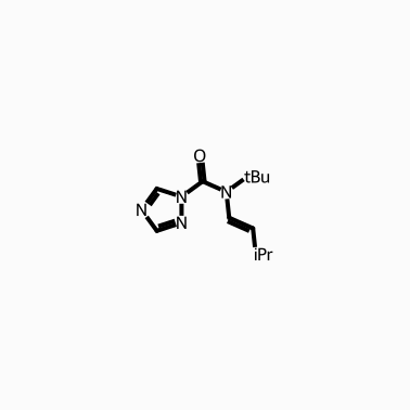 CC(C)/C=C/N(C(=O)n1cncn1)C(C)(C)C